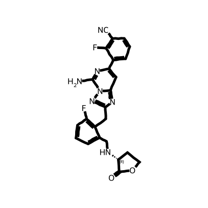 N#Cc1cccc(-c2cc3nc(Cc4c(F)cccc4CN[C@@H]4CCOC4=O)nn3c(N)n2)c1F